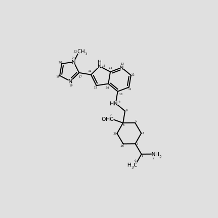 CC(N)C1CCC(C=O)(CNc2ccnc3[nH]c(-c4nccn4C)cc23)CC1